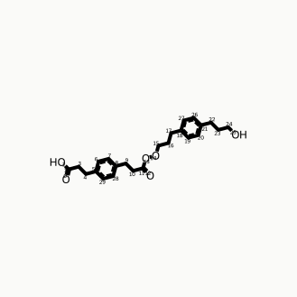 O=C(O)CCc1ccc(CCC(=O)OOCCCc2ccc(CCCO)cc2)cc1